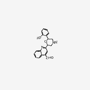 O=Cc1cc(C2CNCC(c3ccccc3O)O2)nc2ccccc12